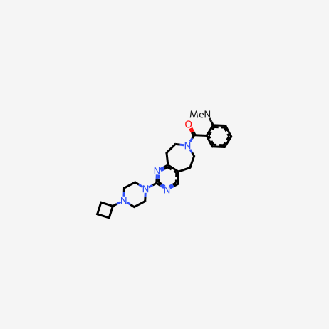 CNc1ccccc1C(=O)N1CCc2cnc(N3CCN(C4CCC4)CC3)nc2CC1